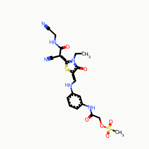 CCn1c(=C(C#N)C(=O)NCC#N)sc(=CNc2cccc(NC(=O)COS(C)(=O)=O)c2)c1=O